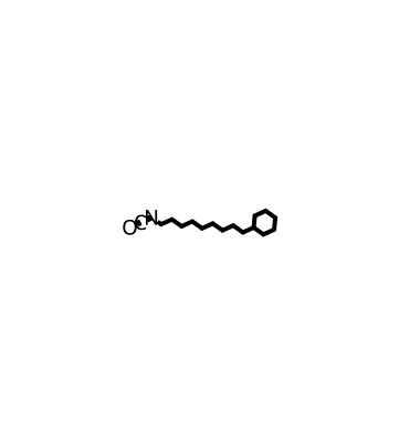 O=C=NCCCCCCCCCC1CCCCC1